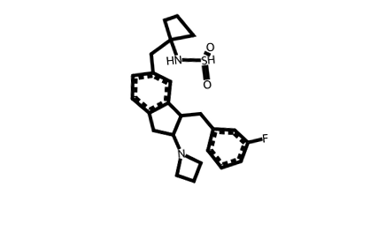 O=[SH](=O)NC1(Cc2ccc3c(c2)C(Cc2cccc(F)c2)C(N2CCC2)C3)CCC1